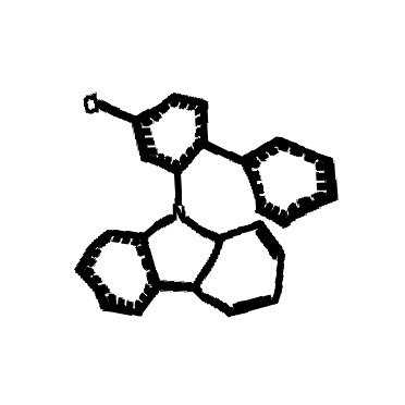 Clc1ccc(-c2ccccc2)c(N2c3ccccc3C3C=CC=CC32)c1